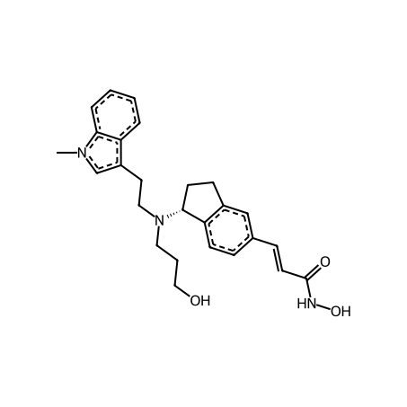 Cn1cc(CCN(CCCO)[C@@H]2CCc3cc(C=CC(=O)NO)ccc32)c2ccccc21